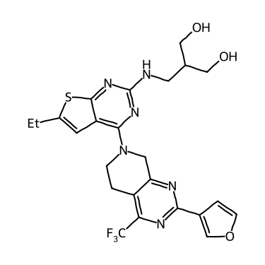 CCc1cc2c(N3CCc4c(nc(-c5ccoc5)nc4C(F)(F)F)C3)nc(NCC(CO)CO)nc2s1